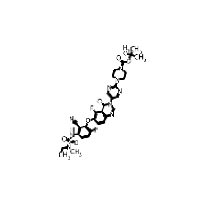 CCN(C)S(=O)(=O)Nc1ccc(F)c(Oc2ccc3ncn(-c4cnc(N5CCN(C(=O)OC(C)(C)C)CC5)nc4)c(=O)c3c2F)c1C#N